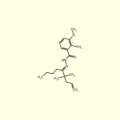 C=CCC(C)(C)/C(CCCC)=N/NC(=O)c1cccc(OC)c1C